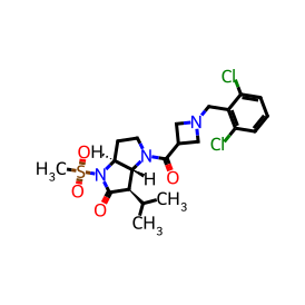 CC(C)[C@H]1C(=O)N(S(C)(=O)=O)[C@H]2CCN(C(=O)C3CN(Cc4c(Cl)cccc4Cl)C3)[C@H]12